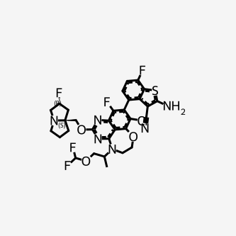 CC(COC(F)F)N1CCOc2c(Cl)c(-c3ccc(F)c4sc(N)c(C#N)c34)c(F)c3nc(OC[C@@]45CCCN4C[C@H](F)C5)nc1c23